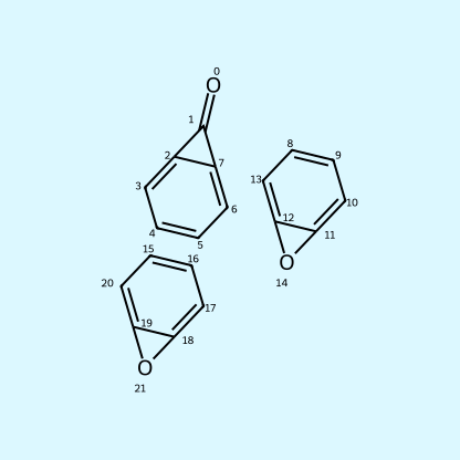 O=c1c2ccccc12.c1ccc2c(c1)O2.c1ccc2c(c1)O2